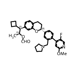 COc1cc(-c2ccc([C@H]3CCc4ccc([C@H](C5CCC5)[C@H](C)OC=O)cc4O3)cc2CN2CCCC2)c(F)cn1